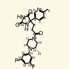 Cc1ccc(C2(CCC(=O)N3CCN(c4cc(F)cc(F)c4)[C@@H](C)C3)NC(=O)NC2=O)cn1